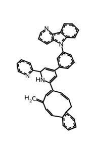 C=C1/C=C\c2ccccc2C/C=C\C(C2=CC(c3cccc(-n4c5ccccc5c5ncccc54)c3)=CC(c3ccccn3)N2)=C/1